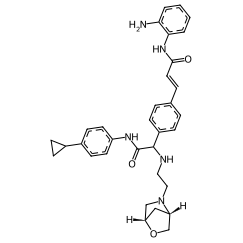 Nc1ccccc1NC(=O)/C=C/c1ccc(C(NCCN2C[C@@H]3C[C@H]2CO3)C(=O)Nc2ccc(C3CC3)cc2)cc1